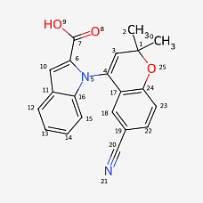 CC1(C)C=C(n2c(C(=O)O)cc3ccccc32)c2cc(C#N)ccc2O1